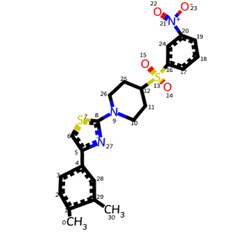 Cc1ccc(-c2csc(N3CCC(S(=O)(=O)c4cccc([N+](=O)[O-])c4)CC3)n2)cc1C